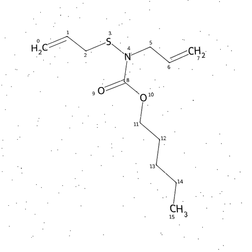 C=CCSN(CC=C)C(=O)OCCCCC